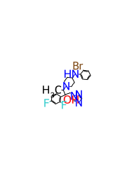 CC(N1CCC(Nc2ccccc2Br)CC1)C(O)(Cn1cncn1)c1ccc(F)cc1F